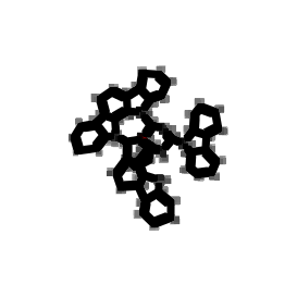 c1ccc(-n2c3ccccc3c3ccc4c5ccccc5n(-c5nc(-c6cccc7c6oc6ccccc67)nc(-n6c7ccccc7c7ccccc76)n5)c4c32)cc1